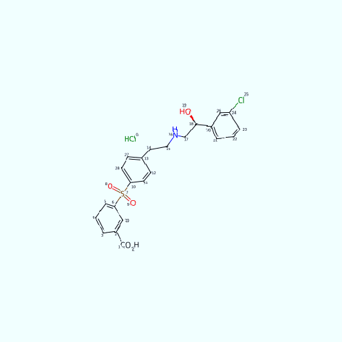 Cl.O=C(O)c1cccc(S(=O)(=O)c2ccc(CCNC[C@@H](O)c3cccc(Cl)c3)cc2)c1